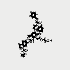 Cc1cccc2c1N(C(=O)OCc1ccccc1)CCN2c1cc2cnc(Nc3ccc4c(c3)N(C(=O)OC(C)(C)C)CC4)nc2n(CCOCCO)c1=O